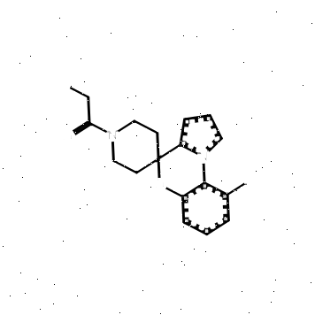 O=C(CF)N1CCC2(CC1)Oc1cccc(F)c1-n1cccc12